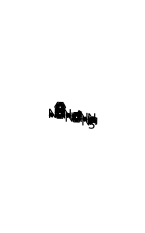 C=Nc1ccc(/N=N/c2ccc(/N=N/c3nccs3)c(C)c2)c2ccccc12